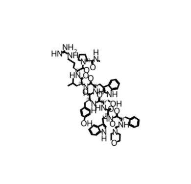 CNC(=O)[C@@H]1CCCN1C(=O)[C@H](CCCNC(=N)N)NC(=O)[C@H](CC(C)C)NC(=O)[C@@H](Cc1c[nH]c2ccccc12)NC(=O)[C@H](Cc1ccc(O)cc1)NC(=O)[C@H](CO)NC(=O)[C@H](Cc1c[nH]c2ccccc12)NC(=O)[C@H](Cc1ccccc1)NC(=O)N1CCOCC1